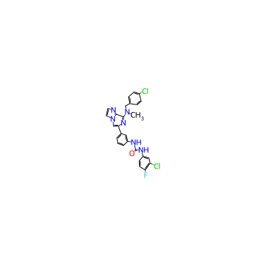 CN(Cc1ccc(Cl)cc1)c1nc(-c2cccc(NC(=O)Nc3ccc(F)c(Cl)c3)c2)cn2ccnc12